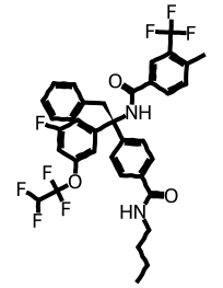 CCCCNC(=O)c1ccc([C@@](Cc2ccccc2)(NC(=O)c2ccc(C)c(C(F)(F)F)c2)c2cc(F)cc(OC(F)(F)C(F)F)c2)cc1